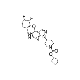 N#Cc1ccc(F)c(F)c1Oc1ncnc2c1cnn2C1CCN(C(=O)OC2CCCC2)CC1